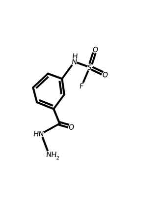 NNC(=O)c1cccc(NS(=O)(=O)F)c1